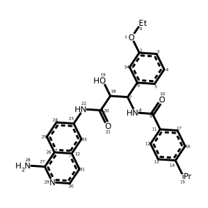 CCOc1cccc(C(NC(=O)c2ccc(C(C)C)cc2)C(O)C(=O)Nc2ccc3c(N)nccc3c2)c1